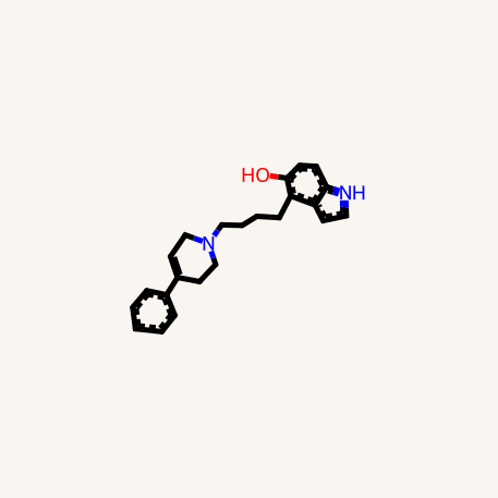 Oc1ccc2[nH]ccc2c1CCCCN1CC=C(c2ccccc2)CC1